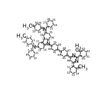 Cc1ccc(N(c2ccccc2)c2ccc3c(c2)c2cc(N(c4ccccc4)c4ccc(C)cc4)ccc2n3-c2ccc(-c3ccc(-c4cc(-c5ccccc5C)nc(-c5ccccc5C)n4)cc3)cc2)cc1